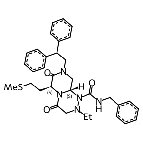 CCN1CC(=O)N2[C@@H](CCSC)C(=O)N(CC(c3ccccc3)c3ccccc3)C[C@@H]2N1C(=O)NCc1ccccc1